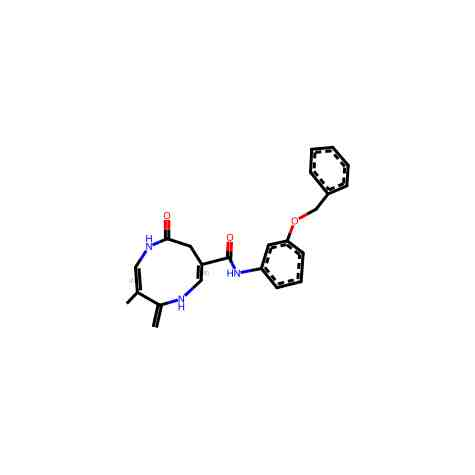 C=C1N/C=C(/C(=O)Nc2cccc(OCc3ccccc3)c2)CC(=O)N/C=C\1C